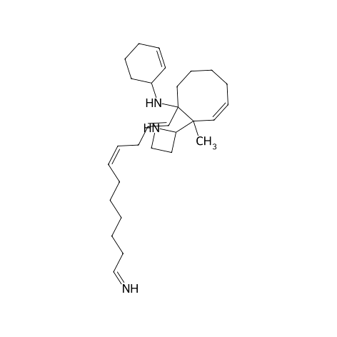 CC1(C2CCN2)/C=C\CCCCC1(C=CC/C=C\CCCCCC=N)NC1C=CCCC1